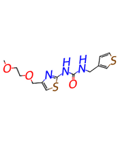 COCCOCc1csc(NC(=O)NCc2ccsc2)n1